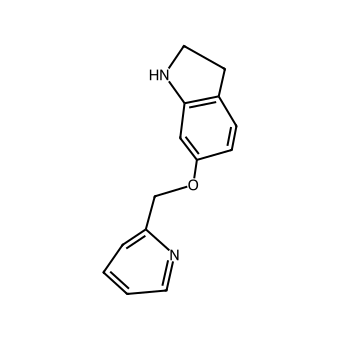 c1ccc(COc2ccc3c(c2)NCC3)nc1